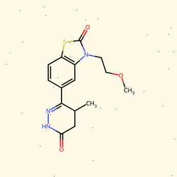 COCCn1c(=O)sc2ccc(C3=NNC(=O)CC3C)cc21